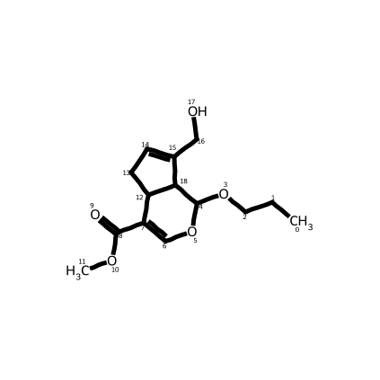 CCCOC1OC=C(C(=O)OC)C2CC=C(CO)C12